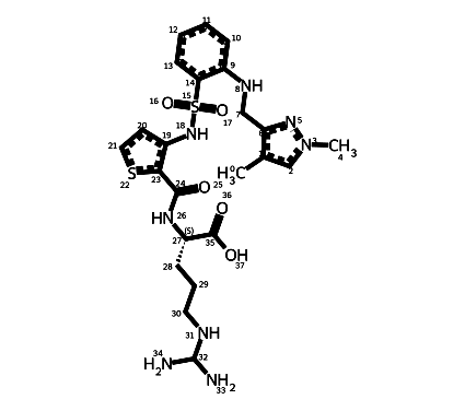 Cc1cn(C)nc1CNc1ccccc1S(=O)(=O)Nc1ccsc1C(=O)N[C@@H](CCCNC(N)N)C(=O)O